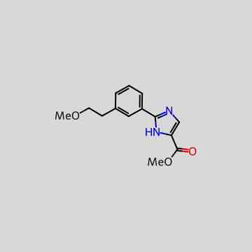 COCCc1cccc(-c2ncc(C(=O)OC)[nH]2)c1